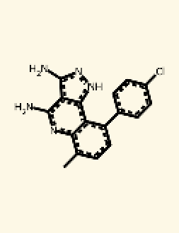 Cc1ccc(-c2ccc(Cl)cc2)c2c1nc(N)c1c(N)n[nH]c12